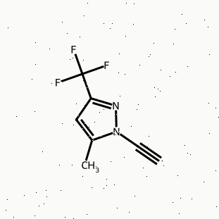 [C]#Cn1nc(C(F)(F)F)cc1C